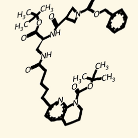 CC(C)(C)OC(=O)[C@H](CNC(=O)CCCCc1ccc2c(n1)N(C(=O)OC(C)(C)C)CCC2)NC(=O)C1CN(C(=O)OCc2ccccc2)C1